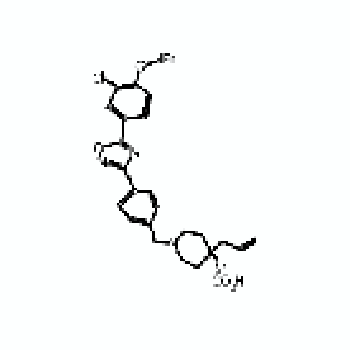 C=CCC1(OC(=O)O)CCN(Cc2ccc(-c3noc(-c4ccc(OC(C)C)c(Cl)c4)n3)cc2)CC1